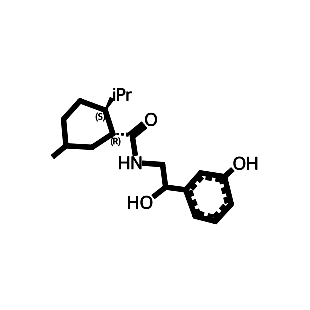 CC1CC[C@@H](C(C)C)[C@H](C(=O)NCC(O)c2cccc(O)c2)C1